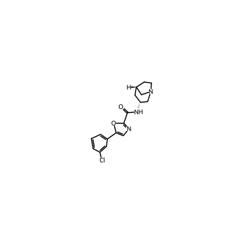 O=C(N[C@@H]1C[C@@H]2CCN(C2)C1)c1ncc(-c2cccc(Cl)c2)o1